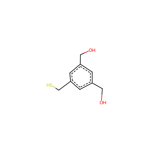 OCc1cc(CO)cc(CS)c1